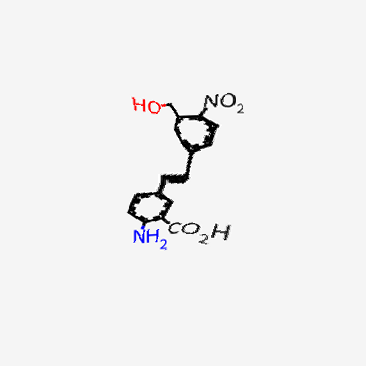 Nc1ccc(/C=C/c2ccc([N+](=O)[O-])c(CO)c2)cc1C(=O)O